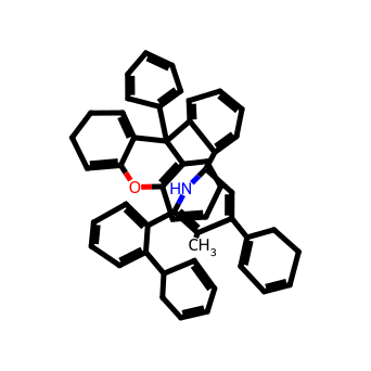 CC1=C(c2ccccc2C2C=CC=CC2)NC(c2ccccc2C2(c3ccccc3)C3=CCCC=C3OC3=C2CCC=C3)C=C1C1=CC=CCC1